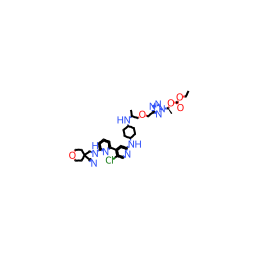 CCOC(=O)O[C@@H](C)n1nnc(COCC(C)N[C@H]2CC[C@H](Nc3cc(-c4cccc(NCC5(C#N)CCOCC5)n4)c(Cl)cn3)CC2)n1